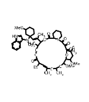 CCC1/C=C(\C)CC(C)CC(OC)C2OC(O)(C(=O)C(=O)N3CCCCC3C(=O)OC(C(C)=CC3(N(C)c4c[nH]c5ccccc45)CCCC(OC)C3)C(C)CCC1=O)C(C)CC2OC